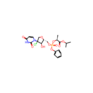 CC(C)OC(=O)[C@H](C)OP(=O)(OC[C@H]1OC[C@@](Cl)(n2ccc(=O)[nH]c2=O)[C@@H]1O)Oc1ccccc1